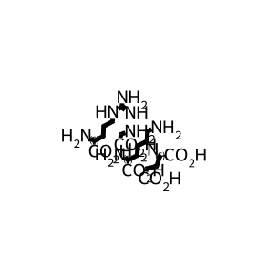 N=C(N)NCCC[C@H](N)C(=O)O.NCC(=O)O.NCCCC[C@H](N)C(=O)O.N[C@@H](CCC(=O)O)C(=O)O